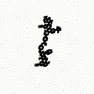 C#Cc1c(F)ccc2cc(O)cc(-c3ncc4c(N5CC6CCC(C5)N6)nc(OC5CCN(CC(=O)N6CCN(C(=O)C[C@H](NC(=O)[C@@H]7C[C@@H](O)CN7C(=O)[C@@H](NC(=O)C7(F)CC7)C(C)(C)C)c7ccc(-c8scnc8C)cc7)CC6)CC5)nc4c3F)c12